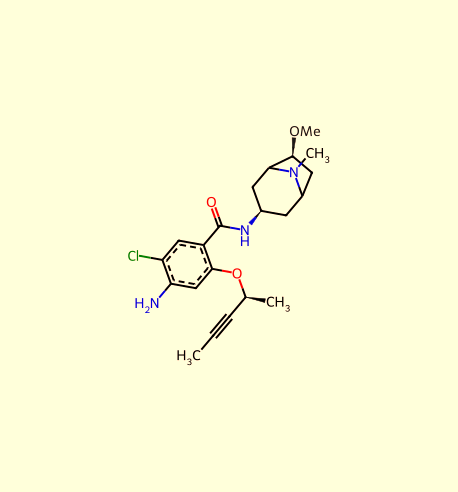 CC#C[C@H](C)Oc1cc(N)c(Cl)cc1C(=O)N[C@@H]1CC2C[C@H](OC)C(C1)N2C